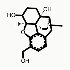 CN1CC[C@]23c4c5ccc(CO)c4O[C@H]2C(O)CC[C@@]3(O)C1C5